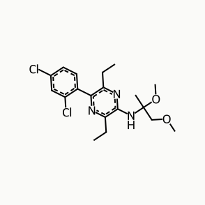 CCc1nc(-c2ccc(Cl)cc2Cl)c(CC)nc1NC(C)(COC)OC